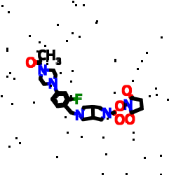 CC(=O)N1CCN(c2ccc(CN3CC4CN(C(=O)ON5C(=O)CCC5=O)CC4C3)c(F)c2)CC1